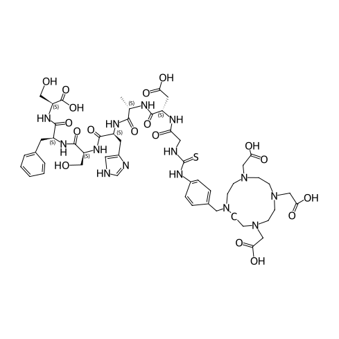 C[C@H](NC(=O)[C@H](CC(=O)O)NC(=O)CNC(=S)Nc1ccc(CN2CCN(CC(=O)O)CCN(CC(=O)O)CCN(CC(=O)O)CC2)cc1)C(=O)N[C@@H](Cc1c[nH]cn1)C(=O)N[C@@H](CO)C(=O)N[C@@H](Cc1ccccc1)C(=O)N[C@@H](CO)C(=O)O